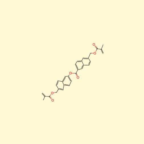 C=C(C)C(=O)OCc1ccc2cc(OC(=O)c3ccc4cc(COC(=O)C(=C)C)ccc4c3)ccc2c1